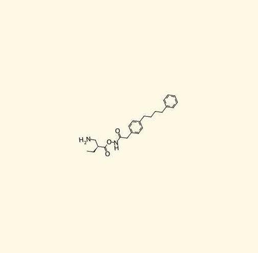 CC[C@@H](CN)C(=O)ONC(=O)Cc1ccc(CCCCc2ccccc2)cc1